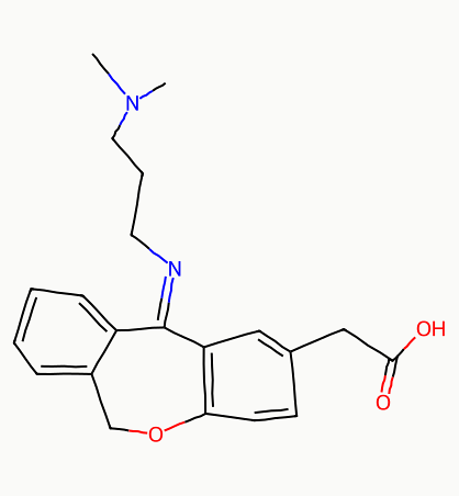 CN(C)CCC/N=C1\c2ccccc2COc2ccc(CC(=O)O)cc21